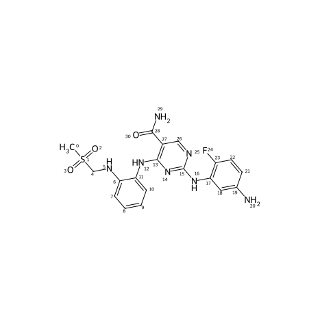 CS(=O)(=O)CNc1ccccc1Nc1nc(Nc2cc(N)ccc2F)ncc1C(N)=O